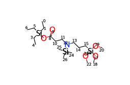 CC[Si](CC)(CC)OC(=O)CCN(CCC[Si](OC)(OC)OC)[Si](C)(C)C